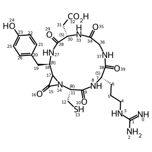 N=C(N)NCCC[C@@H]1NC(=O)[C@H](CS)N2C(=O)C2[C@@H](Cc2ccc(O)cc2)NC(=O)[C@H](CC(=O)O)NC(=O)CNC1=O